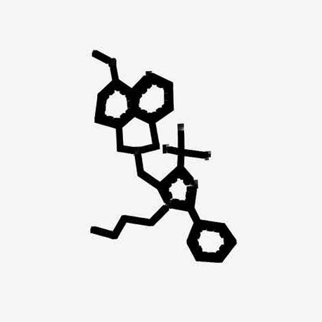 CCCCn1c(-c2ccccc2)nc(C(F)(F)F)c1CN(Cc1ccccc1)Cc1ccc(OC)c(F)c1